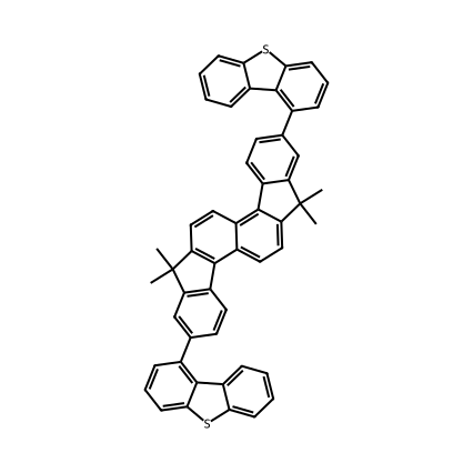 CC1(C)c2cc(-c3cccc4sc5ccccc5c34)ccc2-c2c1ccc1c3c(ccc21)C(C)(C)c1cc(-c2cccc4sc5ccccc5c24)ccc1-3